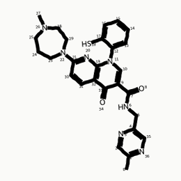 Cc1cnc(CNC(=O)c2cn(-c3ccccc3S)c3nc(N4CCCN(C)CC4)ccc3c2=O)cn1